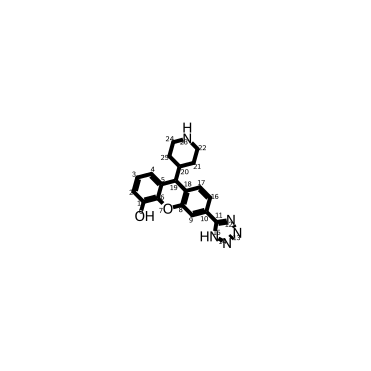 Oc1cccc2c1Oc1cc(-c3nnn[nH]3)ccc1C2C1CCNCC1